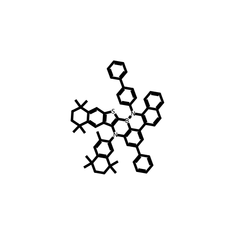 Cc1cc2c(cc1N1c3cc(-c4ccccc4)cc4c3B(c3sc5cc6c(cc5c31)C(C)(C)CCC6(C)C)N(c1ccc(-c3ccccc3)cc1)c1c-4ccc3ccccc13)C(C)(C)CCC2(C)C